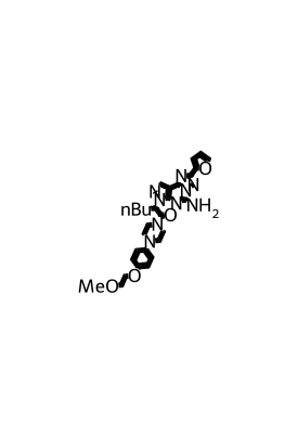 CCCCC(C(=O)N1CCN(c2ccc(OCCOC)cc2)CC1)n1ncc2c1nc(N)n1nc(-c3ccco3)nc21